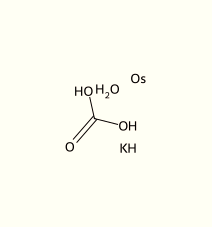 O.O=C(O)O.[KH].[Os]